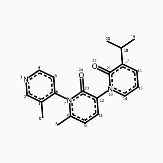 Cc1cnccc1-n1c(C)ccc(-n2cccc(C(C)C)c2=O)c1=O